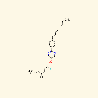 CCCCCCCCc1ccc(-c2ncc(OCC(F)CCC(C)CCC)cn2)cc1